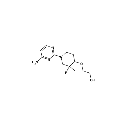 CC1(F)CN(c2nccc(N)n2)CCC1OCCO